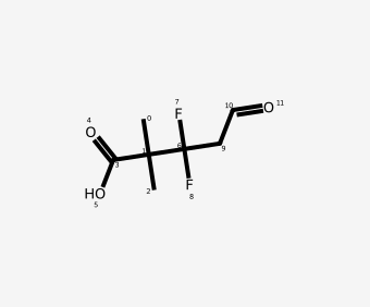 CC(C)(C(=O)O)C(F)(F)CC=O